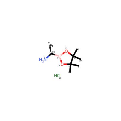 CC(C)[C@H](N)B1OC(C)(C)C(C)(C)O1.Cl